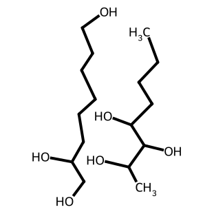 CCCCC(O)C(O)C(C)O.OCCCCCCC(O)CO